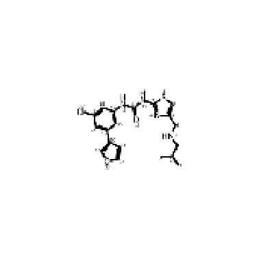 CC(C)CNCc1csc(NC(=O)Nc2cc(Cl)cc(-c3ccoc3)c2)n1